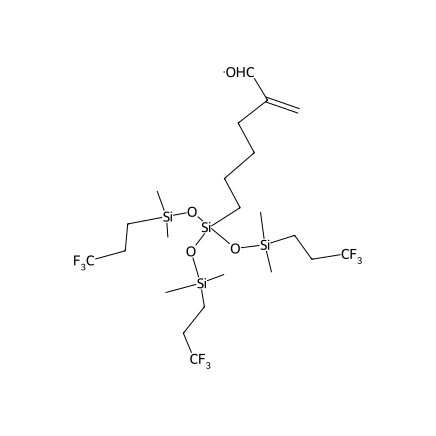 C=C([C]=O)CCCC[Si](O[Si](C)(C)CCC(F)(F)F)(O[Si](C)(C)CCC(F)(F)F)O[Si](C)(C)CCC(F)(F)F